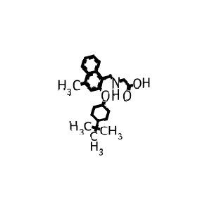 Cc1cc(OC2CCC(C(C)(C)C)CC2)c(CNCC(=O)O)c2ccccc12